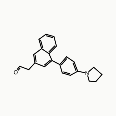 O=CCc1cc(-c2ccc(N3CCCC3)cc2)c2ccccc2c1